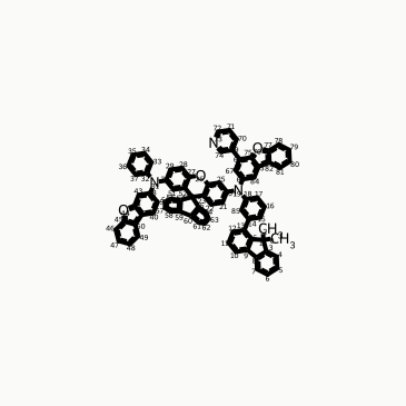 CC1(C)c2ccccc2-c2cccc(-c3cccc(N(c4ccc5c(c4)Oc4ccc(N(c6ccccc6)c6ccc7c(c6)oc6ccccc67)cc4C54c5ccccc5-c5ccccc54)c4cc(-c5cccnc5)c5oc6ccccc6c5c4)c3)c21